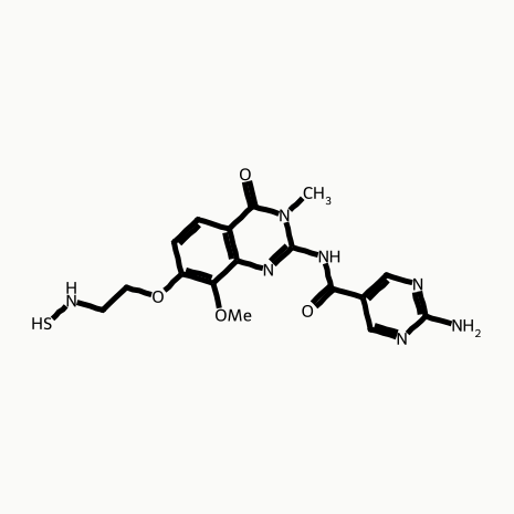 COc1c(OCCNS)ccc2c(=O)n(C)c(NC(=O)c3cnc(N)nc3)nc12